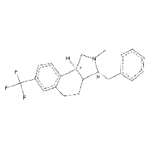 CN1C[C@@H]2c3ccc(C(F)(F)F)cc3CCC2[C@H]1Cc1ccccc1